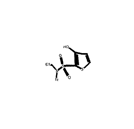 CCN(CC)S(=O)(=O)c1sccc1O